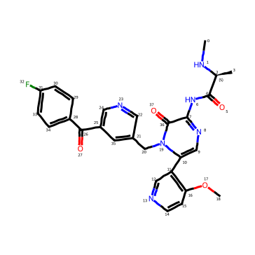 CN[C@@H](C)C(=O)Nc1ncc(-c2cnccc2OC)n(Cc2cncc(C(=O)c3ccc(F)cc3)c2)c1=O